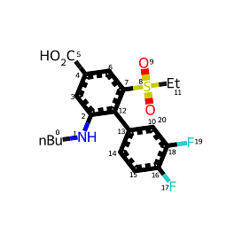 CCCCNc1cc(C(=O)O)cc(S(=O)(=O)CC)c1-c1ccc(F)c(F)c1